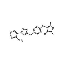 CC1=C(Oc2ccc(Cc3cc(-c4cccnc4N)on3)cn2)C(=O)C(C)O1